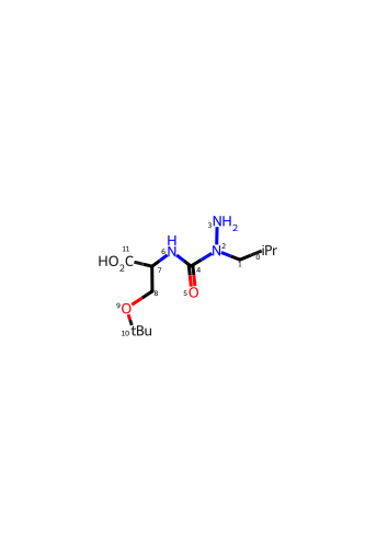 CC(C)CN(N)C(=O)NC(COC(C)(C)C)C(=O)O